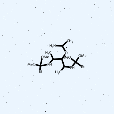 CCC(OC)(OC)PC(C)C(OC(C)N)C(C)PC(CC)(OC)OC